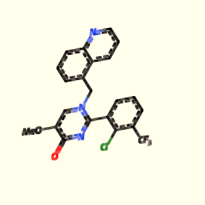 COc1cn(Cc2cccc3ncccc23)c(-c2cccc(C(F)(F)F)c2Cl)nc1=O